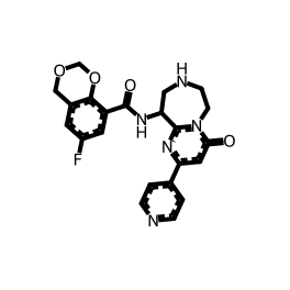 O=C(NC1CNCCn2c1nc(-c1ccncc1)cc2=O)c1cc(F)cc2c1OCOC2